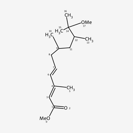 COC(=O)/C=C(C)/C=C/CC(C)CC(C)C(C)(C)OC